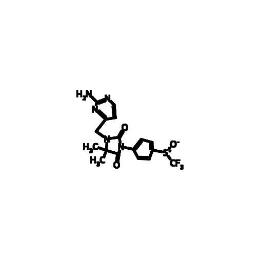 CC1(C)C(=O)N(c2ccc([S+]([O-])C(F)(F)F)cc2)C(=O)N1Cc1ccnc(N)n1